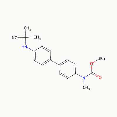 CN(C(=O)OC(C)(C)C)c1ccc(-c2ccc(NC(C)(C)C#N)cc2)cc1